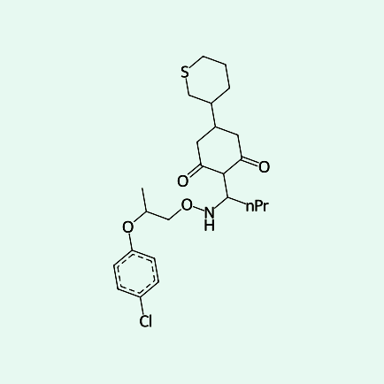 CCCC(NOCC(C)Oc1ccc(Cl)cc1)C1C(=O)CC(C2CCCSC2)CC1=O